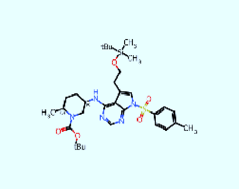 Cc1ccc(S(=O)(=O)n2cc(CCO[Si](C)(C)C(C)(C)C)c3c(N[C@@H]4CC[C@H](C)N(C(=O)OC(C)(C)C)C4)ncnc32)cc1